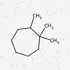 C[C]1CCCCCC1(C)C